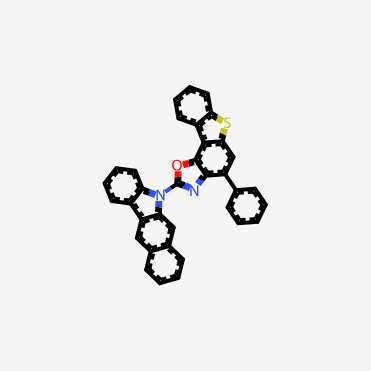 c1ccc(-c2cc3sc4ccccc4c3c3oc(-n4c5ccccc5c5cc6ccccc6cc54)nc23)cc1